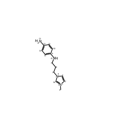 C[n+]1ccn(CCCNc2ccc(N)cc2)c1